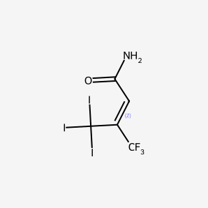 NC(=O)/C=C(/C(F)(F)F)C(I)(I)I